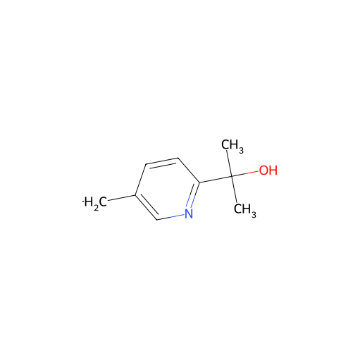 [CH2]c1ccc(C(C)(C)O)nc1